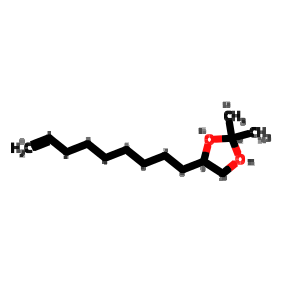 C=CCCCCCCCC1COC(C)(C)O1